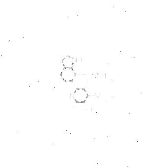 [CH2]c1nc(-c2ccc3cc[nH]c3c2F)c(F)c(N)c1Cl.[KH].[NaH]